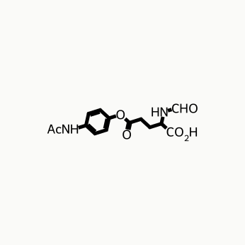 CC(=O)Nc1ccc(OC(=O)CCC(NC=O)C(=O)O)cc1